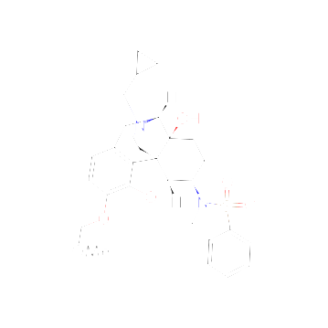 COCOc1ccc2c3c1O[C@H]1[C@H](N4Cc5ccccc5S4(=O)=O)CC[C@@]4(O)[C@@H](C2)N(CC2CC2)CC[C@]314